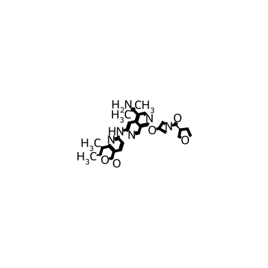 C[C@@H]1OC(=O)c2ccc(Nc3cc4c(C(C)(C)N)cnc(OC5CN(C(=O)[C@H]6CCOC6)C5)c4cn3)nc2[C@H]1C